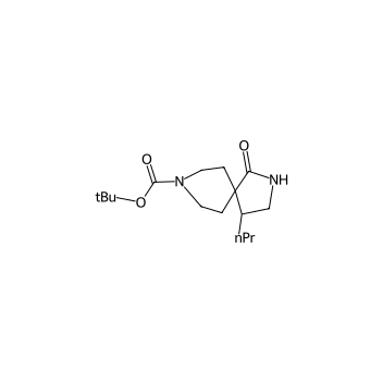 CCCC1CNC(=O)C12CCN(C(=O)OC(C)(C)C)CC2